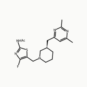 CC(=O)Nc1nc(F)c(CN2CCC[C@H](Cc3cc(C)nc(C)n3)C2)s1